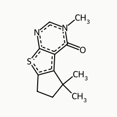 Cn1cnc2sc3c(c2c1=O)C(C)(C)CC3